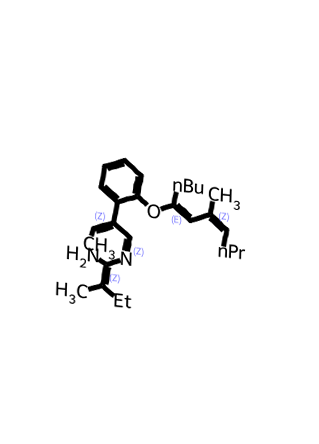 C\C=C(/C=N\C(N)=C(\C)CC)c1ccccc1O/C(=C/C(C)=C\CCC)CCCC